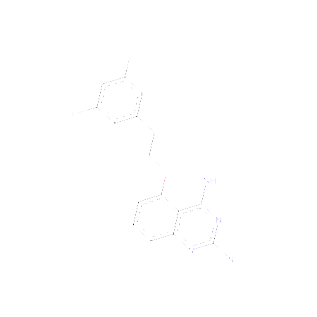 Nc1nc(N)c2c(OCCc3cc(F)cc(F)c3)cccc2n1